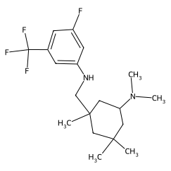 CN(C)C1CC(C)(C)CC(C)(CNc2cc(F)cc(C(F)(F)F)c2)C1